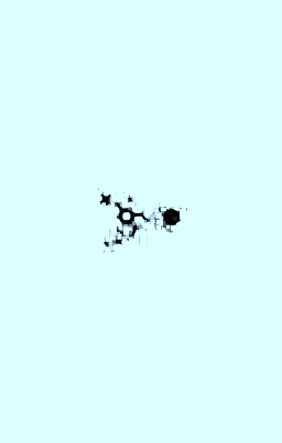 COc1c(CC(NC(=O)Cn2cc([Si](C)(C)C)nn2)B2O[C@@H]3C[C@@H]4C[C@@H](C4(C)C)[C@]3(C)O2)cccc1C(=O)OC(C)(C)C